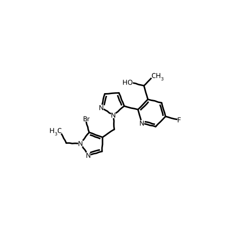 CCn1ncc(Cn2nccc2-c2ncc(F)cc2C(C)O)c1Br